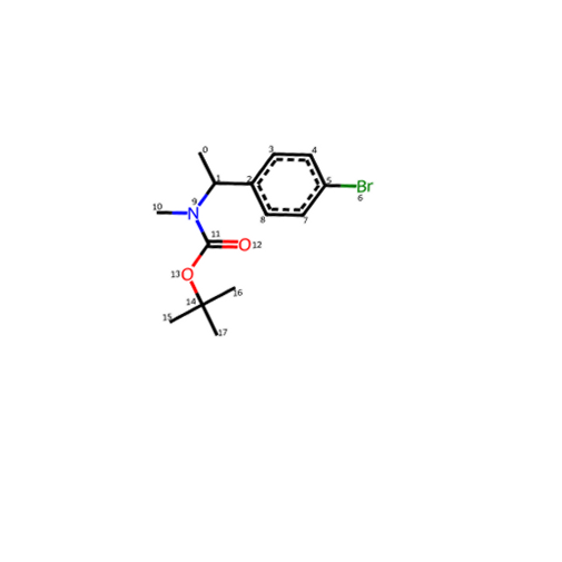 CC(c1ccc(Br)cc1)N(C)C(=O)OC(C)(C)C